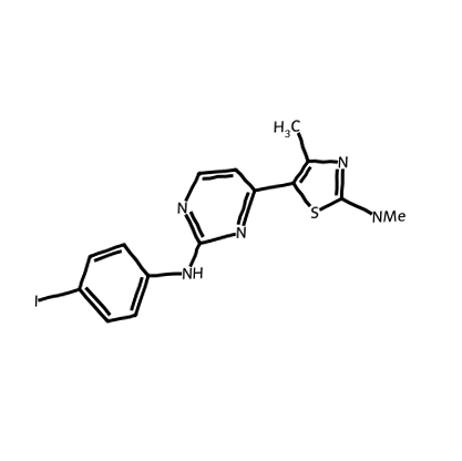 CNc1nc(C)c(-c2ccnc(Nc3ccc(I)cc3)n2)s1